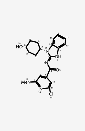 CNc1cc(C(=O)/N=c2\[nH]c3ccccc3n2[C@H]2CC[C@@H](O)CC2)cc(Cl)n1